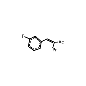 CC(=O)/C(=C/c1cccc(F)c1)C(C)C